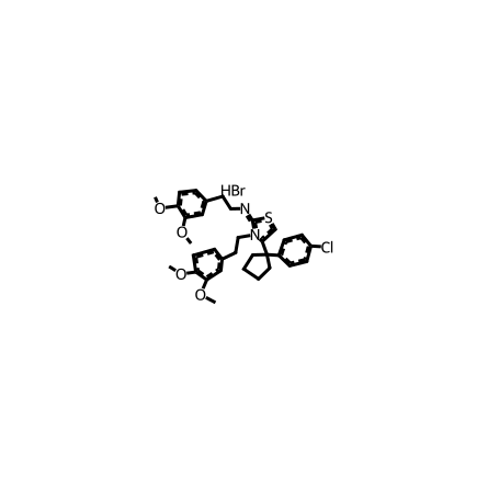 Br.COc1ccc(CC/N=c2/scc(C3(c4ccc(Cl)cc4)CCCC3)n2CCc2ccc(OC)c(OC)c2)cc1OC